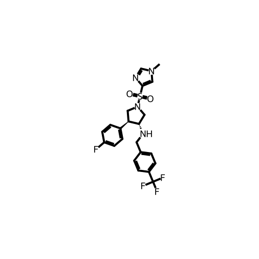 Cn1cnc(S(=O)(=O)N2C[C@H](NCc3ccc(C(F)(F)F)cc3)[C@@H](c3ccc(F)cc3)C2)c1